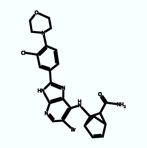 NC(=O)C1C2C=CC(C2)C1Nc1c(Br)cnc2[nH]c(-c3ccc(N4CCOCC4)c(Cl)c3)nc12